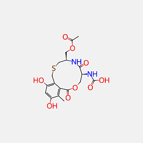 CC(=O)OC[C@@H]1CSCc2c(O)cc(O)c(C)c2C(=O)OC[C@H](NC(=O)O)C(=O)N1